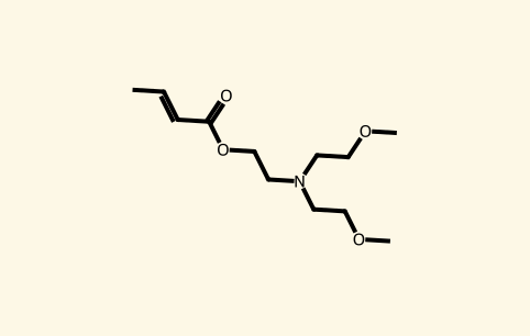 C/C=C/C(=O)OCCN(CCOC)CCOC